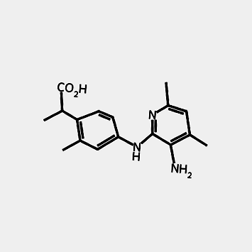 Cc1cc(C)c(N)c(Nc2ccc(C(C)C(=O)O)c(C)c2)n1